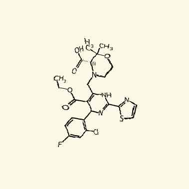 CCOC(=O)C1=C(CN2CCOC(C)(C)[C@H]2C(=O)O)NC(c2nccs2)=NC1c1ccc(F)cc1Cl